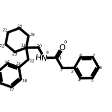 O=C(Cc1ccccc1)NCC1(Cc2ccccc2)CCCCC1